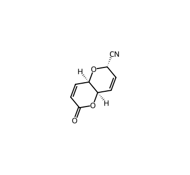 N#C[C@@H]1C=C[C@H]2OC(=O)C=C[C@H]2O1